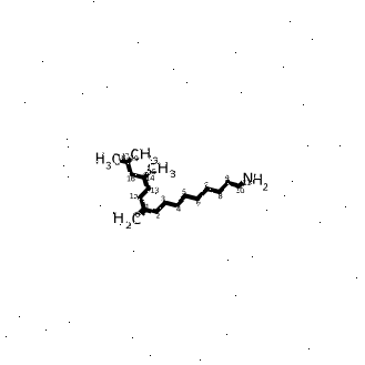 C=C(CCCCCCCCCN)CCC(C)CC(C)C